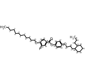 CCCCCCCCCCCCOc1ccc(C(=O)Oc2ccc(OCCCC3CCCCC3CCC)cc2)cc1F